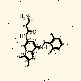 Cc1cccc(C)c1CNc1cc(NC(=O)CCN)cn2c(C)c(C)nc12